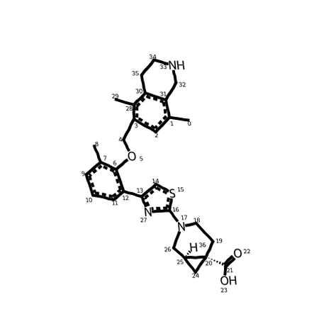 Cc1cc(COc2c(C)cccc2-c2csc(N3CC[C@@]4(C(=O)O)C[C@H]4C3)n2)c(C)c2c1CNCC2